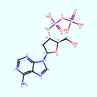 Nc1ncnc2c1ncn2[C@H]1C[C@H](OP(=O)(O)OP(=O)(O)O)[C@@H](CO)O1